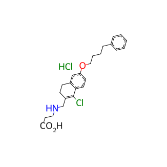 Cl.O=C(O)CCNCC1=C(Cl)c2ccc(OCCCCc3ccccc3)cc2CC1